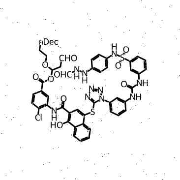 CCCCCCCCCCCCOC(CC=O)OC(=O)c1ccc(Cl)c(NC(=O)c2cc(Sc3nnnn3-c3cccc(NC(=O)Nc4cccc(S(=O)(=O)Nc5ccc(NNC=O)cc5)c4)c3)c3ccccc3c2O)c1